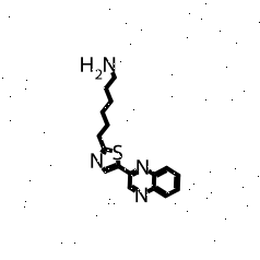 NCCCCCCc1ncc(-c2cnc3ccccc3n2)s1